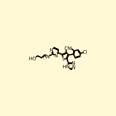 N#Cc1c(-c2ccnc(NCCCO)n2)sc(-c2nnc[nH]2)c1-c1ccc(Cl)cc1I